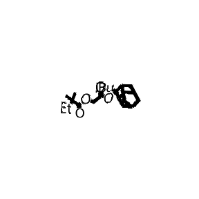 CCC(C)C1(OC(=O)COC(=O)C(C)(C)CC)C2CC3CC(C2)CC1C3